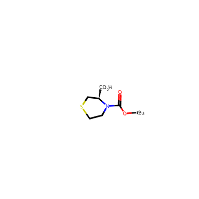 CC(C)(C)OC(=O)N1CCSC[C@H]1C(=O)O